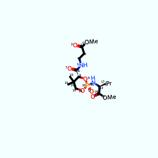 COC(=O)CCNC(=O)[C@@H]1OP(=O)(N[C@H](C(=O)OC)C(C)C)OCC1(C)C